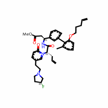 C=CCCCOc1cccc(C)c1-c1cccc([C@H](CC(=O)OC)NC(=O)[C@H](CC=C)n2cc(CCN3CC[C@@H](F)C3)ccc2=O)c1